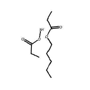 CCC(=O)OS.CCCCCOC(=O)CC